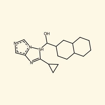 OC(C1CCC2CCCCC2C1)[SH]1C(C2CC2)=Nc2cncn21